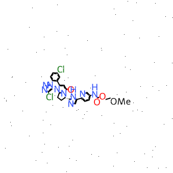 COCCOC(=O)Nc1ccc(-c2cnc([C@@H]3CCc4nc(-c5cc(Cl)ccc5-n5cc(Cl)nn5)cc(=O)n43)[nH]2)nc1